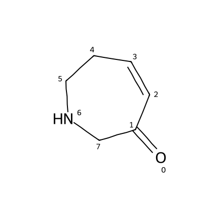 O=C1C=CCCNC1